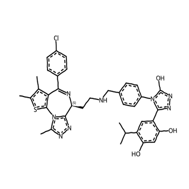 Cc1sc2c(c1C)C(c1ccc(Cl)cc1)=N[C@@H](CCNCc1ccc(-n3c(O)nnc3-c3cc(C(C)C)c(O)cc3O)cc1)c1nnc(C)n1-2